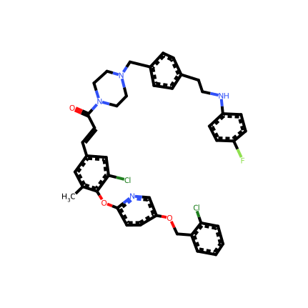 Cc1cc(/C=C/C(=O)N2CCN(Cc3ccc(CCNc4ccc(F)cc4)cc3)CC2)cc(Cl)c1Oc1ccc(OCc2ccccc2Cl)cn1